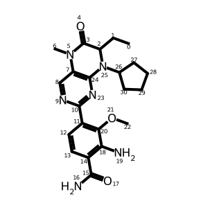 CCC1C(=O)N(C)c2cnc(-c3ccc(C(N)=O)c(N)c3OC)nc2N1C1CCCC1